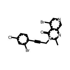 Cc1nc2cncc(Br)c2c(=O)n1CC#Cc1ccc(Cl)cc1Br